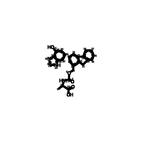 CC(NC(=O)OCc1cccc2c1Cc1ccccc1-2)C(=O)O.Oc1cccc2[nH]nnc12